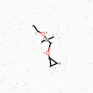 CCO[Si](C)(C)COC1CC1